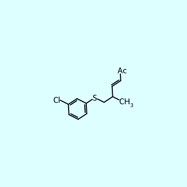 CC(=O)C=CC(C)CSc1cccc(Cl)c1